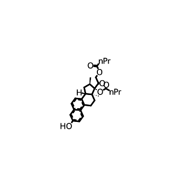 CCCC(=O)OCC(=O)[C@]1(OC(=O)CCC)[C@H](C)C[C@H]2c3ccc4cc(O)ccc4c3CC[C@@]21C